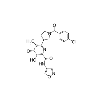 Cn1c(C2CCN(C(=O)c3ccc(Cl)cc3)C2)nc(C(=O)Nc2cnoc2)c(O)c1=O